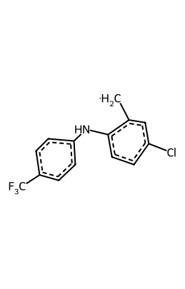 [CH2]c1cc(Cl)ccc1Nc1ccc(C(F)(F)F)cc1